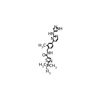 Cc1cc(-c2ccnc(Nc3cn[nH]c3)n2)ccc1CNC(=O)c1cnc(C(C)(C)C)s1